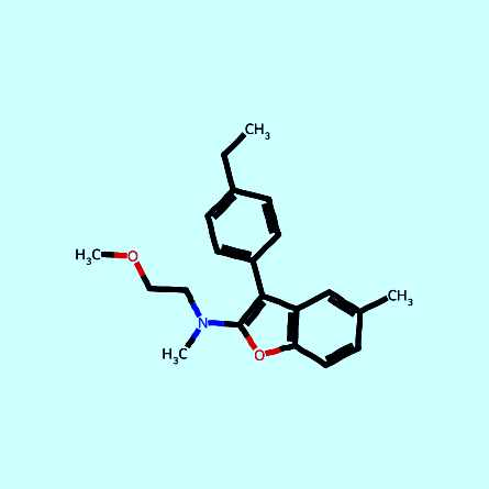 CCc1ccc(-c2c(N(C)CCOC)oc3ccc(C)cc23)cc1